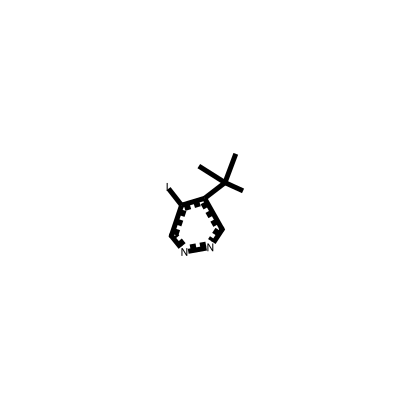 CC(C)(C)c1cnncc1I